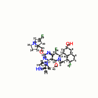 C#Cc1c(F)ccc2cc(O)cc(-c3nc4c5c(nc(OC[C@@]67CCCN6C[C@H](F)C7)nc5c3F)N3CC5CC6[C@H](N5)[C@@]63CO4)c12